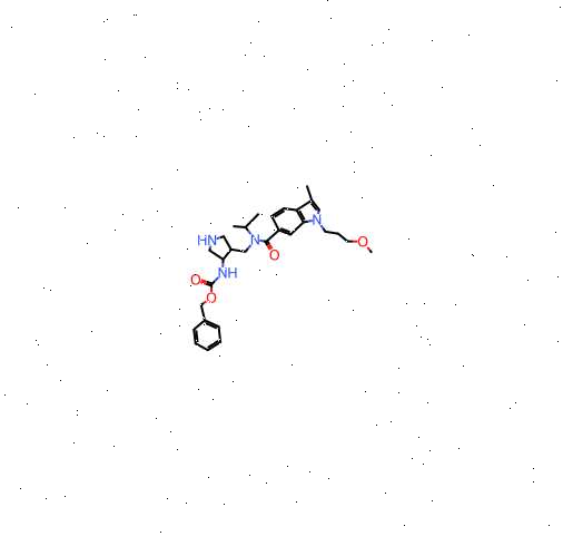 COCCCn1cc(C)c2ccc(C(=O)N(CC3CNCC3NC(=O)OCc3ccccc3)C(C)C)cc21